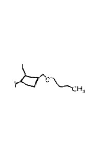 CCCCOC[C@H]1C[C@@H](I)C1I